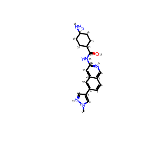 Cn1cc(-c2ccc3cnc(NC(=O)C4CCC(N)CC4)cc3c2)cn1